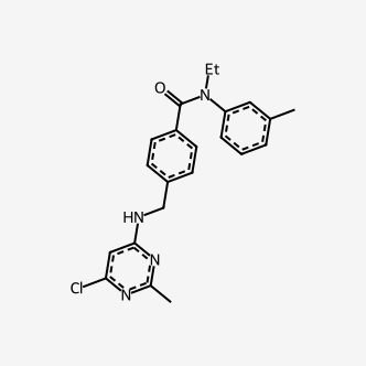 CCN(C(=O)c1ccc(CNc2cc(Cl)nc(C)n2)cc1)c1cccc(C)c1